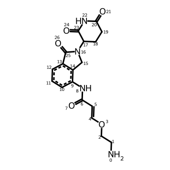 NCCOC=CC(=O)Nc1cccc2c1CN(C1CCC(=O)NC1=O)C2=O